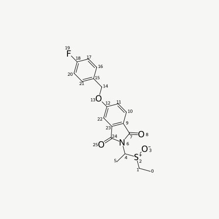 CC[S+]([O-])C(C)N1C(=O)c2ccc(OCc3ccc(F)cc3)cc2C1=O